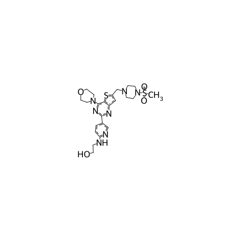 CS(=O)(=O)N1CCN(Cc2cc3nc(-c4ccc(NCCO)nc4)nc(N4CCOCC4)c3s2)CC1